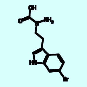 NN(CCc1c[nH]c2cc(Br)ccc12)C(=O)O